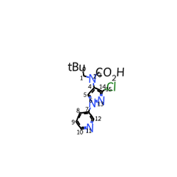 CC(C)(C)CN(C(=O)O)c1cn(-c2cccnc2)nc1Cl